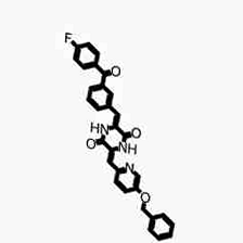 O=C(c1ccc(F)cc1)c1cccc(C=c2[nH]c(=O)c(=Cc3ccc(OCc4ccccc4)cn3)[nH]c2=O)c1